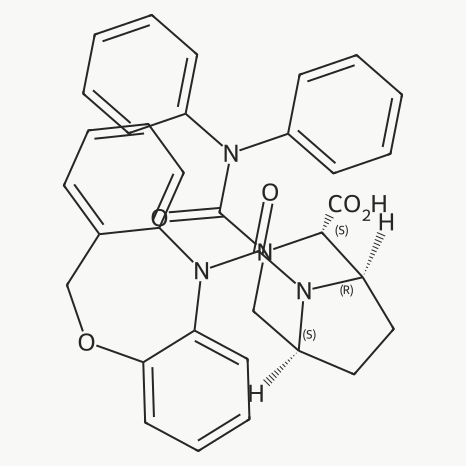 O=C(O)[C@@H]1[C@H]2CC[C@@H](CN1C(=O)N(c1ccccc1)c1ccccc1)N2C(=O)N1c2ccccc2COc2ccccc21